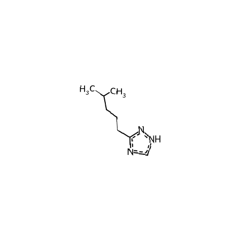 CC(C)CCCc1nc[nH]n1